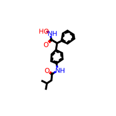 CC(C)CC(=O)Nc1ccc(C(C(=O)NO)c2ccccc2)cc1